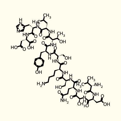 CC(C)C[C@H](NC(=O)[C@@H](NC(=O)[C@H](Cc1ccc(O)cc1)NC(=O)[C@H](CO)NC(=O)[C@H](CCCCN)NC(=O)[C@H](CO)NC(=O)[C@H](CCC(N)=O)NC(=O)[C@H](C)NC(=O)[C@H](CC(=O)O)NC(=O)[C@@H](N)C(C)C)[C@@H](C)O)C(=O)N[C@@H](Cc1cnc[nH]1)C(=O)N[C@@H](CC(=O)O)C(=O)O